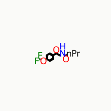 CCCC(=O)NCC(=O)c1ccc(OC(F)F)cc1